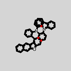 c1ccc(N(c2ccccc2-c2cccc3oc4cc5ccccc5cc4c23)c2ccccc2-n2c3ccccc3c3ccccc32)cc1